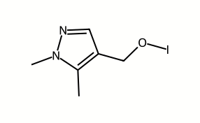 Cc1c(COI)cnn1C